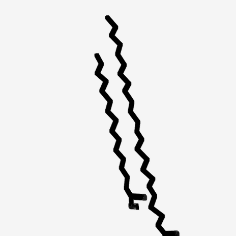 CCCCCCCCCCCCCCCC(=O)O.CCCCCCCCCCCCCCCCCCCCCCCC(=O)O